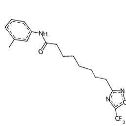 Cc1cccc(NC(=O)CCCCCCCc2noc(C(F)(F)F)n2)c1